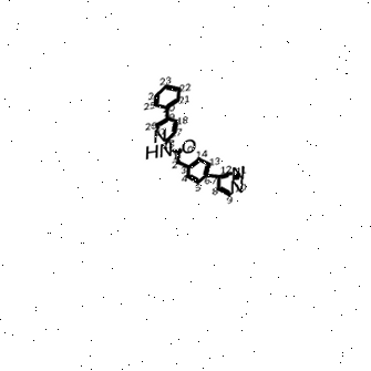 O=C(Cc1ccc(-c2ccnnc2)cc1)Nc1ccc(-c2ccccc2)cn1